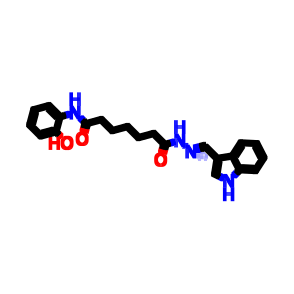 O=C(CCCCCC(=O)Nc1ccccc1O)N/N=C/c1c[nH]c2ccccc12